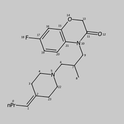 CCCC=C1CCN(CC(C)CN2C(=O)COc3cc(F)ccc32)CC1